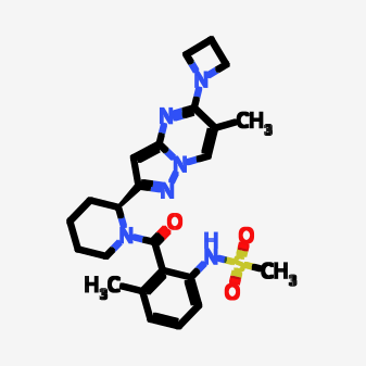 Cc1cn2nc([C@@H]3CCCCN3C(=O)c3c(C)cccc3NS(C)(=O)=O)cc2nc1N1CCC1